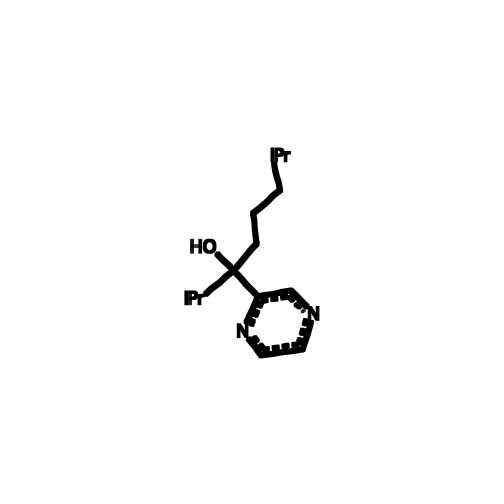 CC(C)CCCC(O)(c1cnccn1)C(C)C